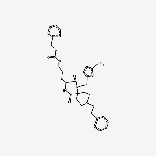 Cc1ccc(CN2C(=O)[C@H](CCCNC(=O)OCc3ccccc3)NC(=O)C23CCN(CCc2ccccc2)CC3)o1